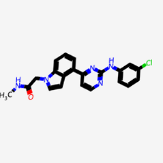 CNC(=O)Cn1ccc2c(-c3ccnc(Nc4cccc(Cl)c4)n3)cccc21